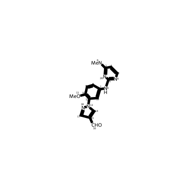 CNc1ccnc(Nc2ccc(OC)c(-n3cc(C=O)cn3)c2)n1